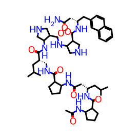 CC(=O)NC1CCCC1C(=O)N[C@H](CC(=O)NC1CCCC1C(=O)NC[C@H](CC(C)C)C(=O)NC1CNCC1C(=O)NC1CNCC1C(=O)N[C@H](CC(N)=O)Cc1ccc2ccccc2c1)CC(C)C